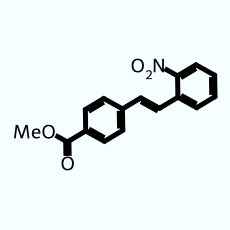 COC(=O)c1ccc(C=Cc2ccccc2[N+](=O)[O-])cc1